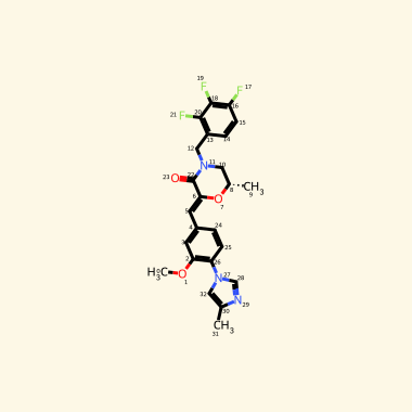 COc1cc(C=C2O[C@@H](C)CN(Cc3ccc(F)c(F)c3F)C2=O)ccc1-n1cnc(C)c1